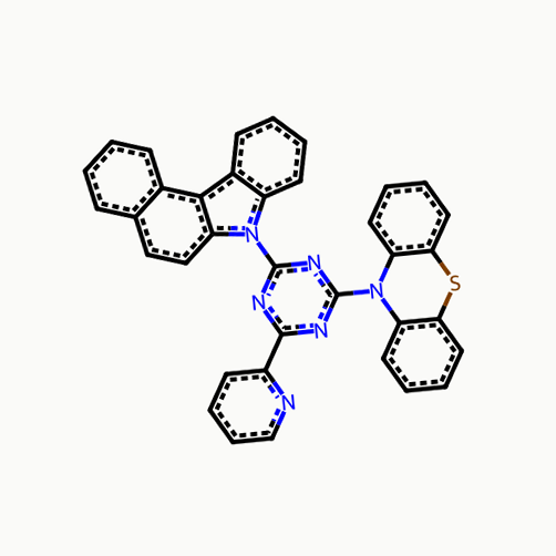 c1ccc(-c2nc(N3c4ccccc4Sc4ccccc43)nc(-n3c4ccccc4c4c5ccccc5ccc43)n2)nc1